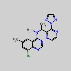 CC(c1nccnc1-n1nccn1)N(C)c1ncnc2c(Br)cc(C(F)(F)F)cc12